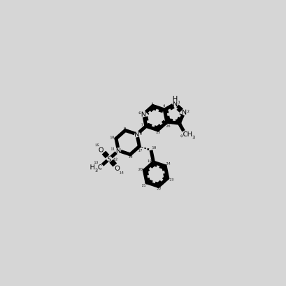 Cc1n[nH]c2cnc(N3CCN(S(C)(=O)=O)C[C@H]3Cc3ccccc3)cc12